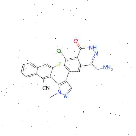 Cn1ncc(-c2cc(Cl)c3c(=O)[nH]nc(CN)c3c2)c1-c1c(F)cc2ccccc2c1C#N